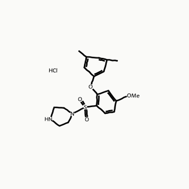 COc1ccc(S(=O)(=O)N2CCNCC2)c(Oc2cc(C)cc(C)c2)c1.Cl